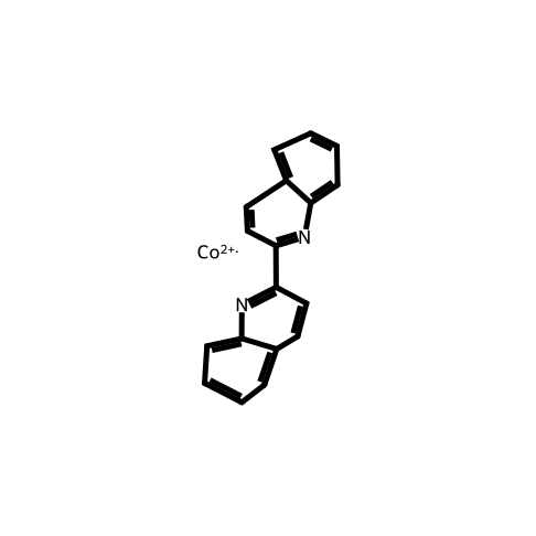 [Co+2].c1ccc2nc(-c3ccc4ccccc4n3)ccc2c1